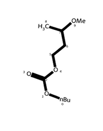 CCCCOC(=O)OCCC(C)OC